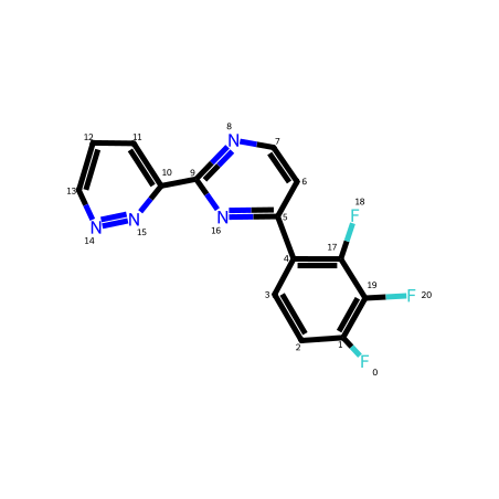 Fc1ccc(-c2ccnc(-c3cccnn3)n2)c(F)c1F